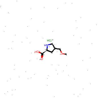 COCC1CN[C@H](C(=O)O)C1.Cl